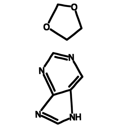 C1COCO1.c1ncc2[nH]cnc2n1